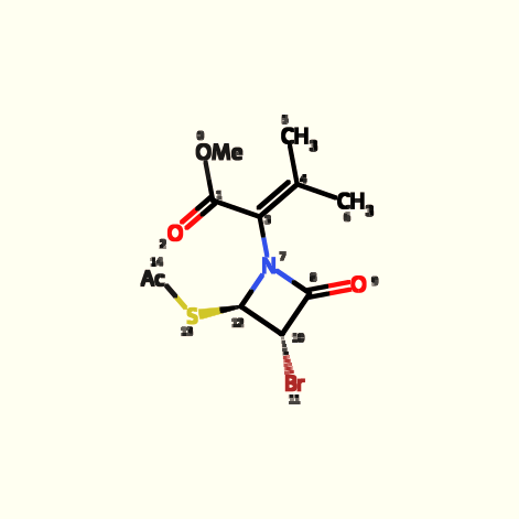 COC(=O)C(=C(C)C)N1C(=O)[C@H](Br)[C@H]1SC(C)=O